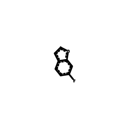 Fc1ccc2c[c]oc2c1